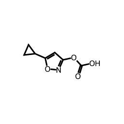 O=C(O)Oc1cc(C2CC2)on1